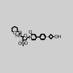 C[C@@](CCn1ccc(-c2ccc([C@H]3C[C@H](O)C3)cc2)cc1=O)(C(=O)NOC1CCCCO1)S(C)(=O)=O